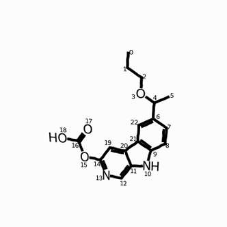 CCCOC(C)c1ccc2[nH]c3cnc(OC(=O)O)cc3c2c1